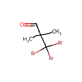 CC(C)(C=O)C(Br)(Br)Br